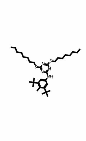 CCCCCCCCSc1nc(Nc2cc(C(C)(C)C)c(C)c(C(C)(C)C)c2)nc(SCCCCCCCC)n1